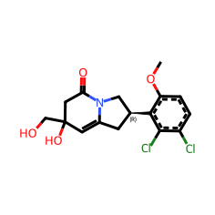 COc1ccc(Cl)c(Cl)c1[C@H]1CC2=CC(O)(CO)CC(=O)N2C1